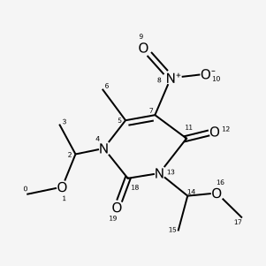 COC(C)n1c(C)c([N+](=O)[O-])c(=O)n(C(C)OC)c1=O